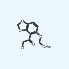 COCOc1ccc2c(c1C(=O)CCl)OCO2